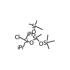 CC(C)[Si](Cl)(O[Si](C)(O[Si](C)(C)C)O[Si](C)(C)C)C(C)C